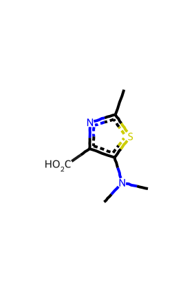 Cc1nc(C(=O)O)c(N(C)C)s1